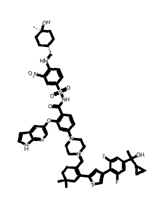 CC1(C)CCC(CN2CCN(c3ccc(C(=O)NS(=O)(=O)c4ccc(NC[C@H]5CC[C@](C)(O)CC5)c([N+](=O)[O-])c4)c(Oc4cnc5[nH]ccc5c4)c3)CC2)=C(c2cc(-c3c(F)cc(C(C)(O)C4CC4)cc3F)cs2)C1